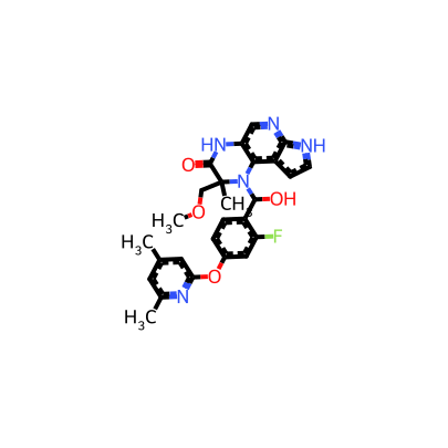 COCC1(C)C(=O)Nc2cnc3[nH]ccc3c2N1C(O)c1ccc(Oc2cc(C)cc(C)n2)cc1F